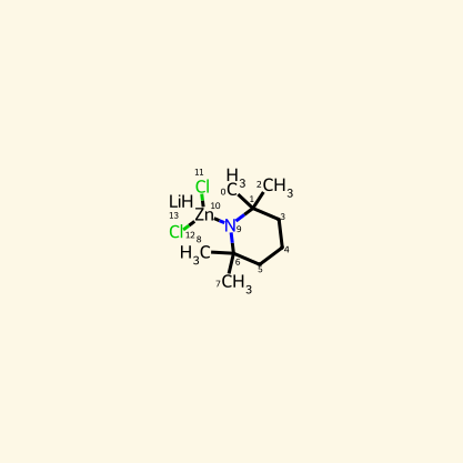 CC1(C)CCCC(C)(C)[N]1[Zn]([Cl])[Cl].[LiH]